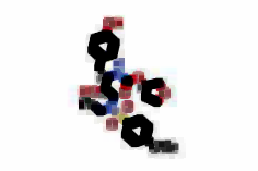 COc1ccc(S(=O)(=O)N(CC(C)C)C[C@@H](O)[C@H](Cc2ccc(O)cc2)NC(=O)O[C@@H]2CCOC2)cc1